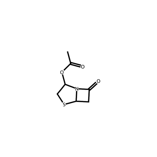 CC(=O)OC1CSC2CC(=O)N12